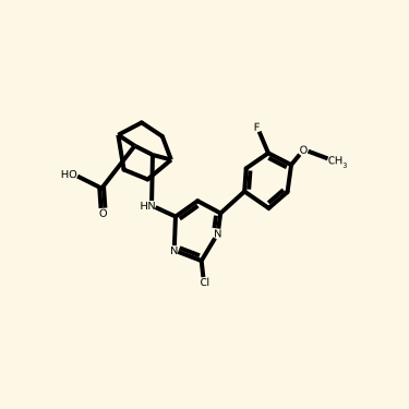 COc1ccc(-c2cc(NC3C4CCC(CC4)C3C(=O)O)nc(Cl)n2)cc1F